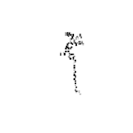 CCCCCCCCCCCCOc1ccc(C2=C(O)CN(Cc3cc(OC)c(OC)c(OC)c3)C2=O)cc1